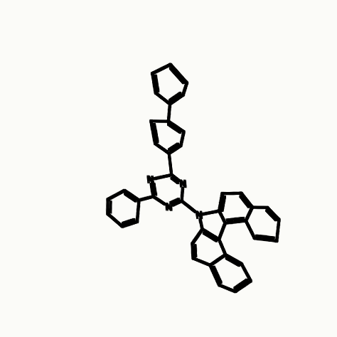 c1ccc(-c2ccc(-c3nc(-c4ccccc4)nc(-n4c5ccc6ccccc6c5c5c6ccccc6ccc54)n3)cc2)cc1